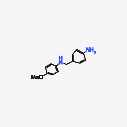 COc1ccc(NCc2ccc(N)cc2)cc1